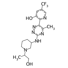 Cc1nc(NC2CCCN(C(C)CO)C2)nnc1-c1ncc(C(F)(F)F)cc1O